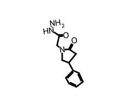 NNC(=O)CN1CC(c2ccccc2)CC1=O